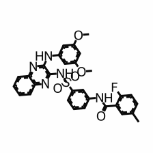 COc1cc(Nc2nc3ccccc3nc2NS(=O)(=O)c2cccc(NC(=O)c3cc(C)ccc3F)c2)cc(OC)c1